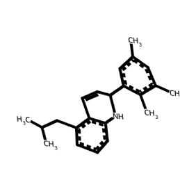 Cc1cc(C)c(C)c(C2C=Cc3c(CC(C)C)cccc3N2)c1